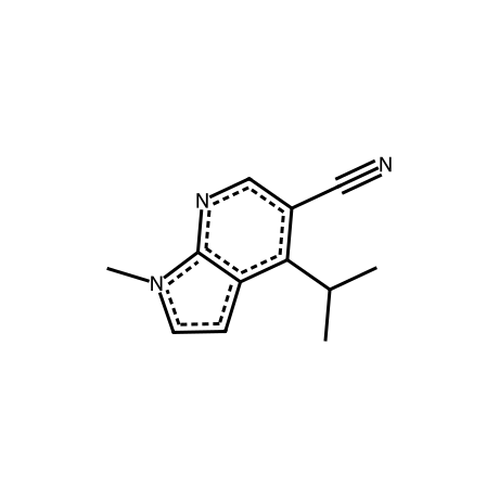 CC(C)c1c(C#N)cnc2c1ccn2C